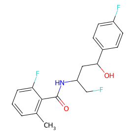 Cc1cccc(F)c1C(=O)NC(CF)CC(O)c1ccc(F)cc1